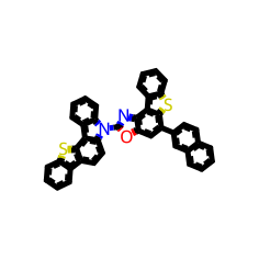 c1ccc2cc(-c3cc4oc(-n5c6ccccc6c6c7sc8ccccc8c7ccc65)nc4c4c3sc3ccccc34)ccc2c1